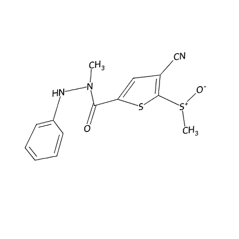 CN(Nc1ccccc1)C(=O)c1cc(C#N)c([S+](C)[O-])s1